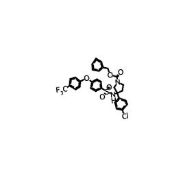 O=C(OCc1ccccc1)N1CCC(NS(=O)(=O)c2ccc(Oc3ccc(C(F)(F)F)cc3)cc2)(c2ccc(Cl)cc2)C1